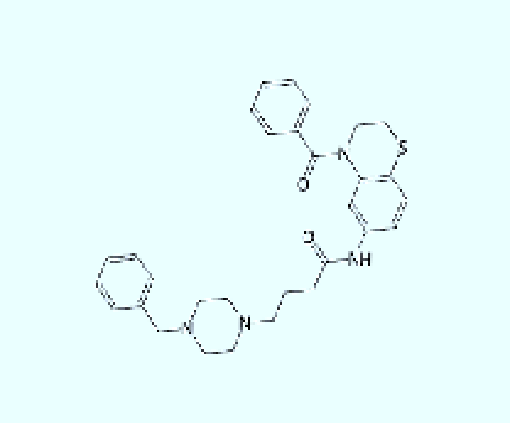 O=C(CCCN1CCN(Cc2ccccc2)CC1)Nc1ccc2c(c1)N(C(=O)c1ccccc1)CCS2